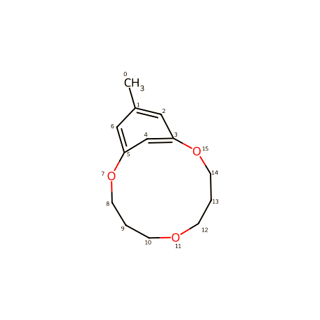 Cc1cc2cc(c1)OCCCOCCCO2